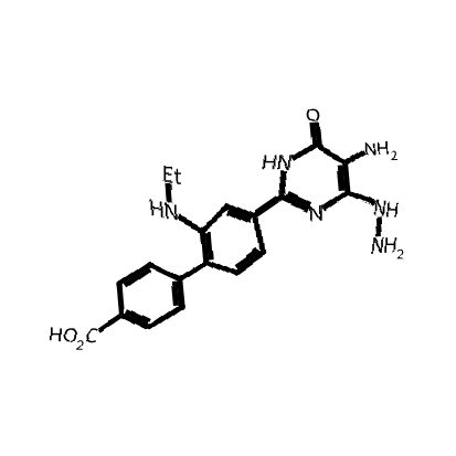 CCNc1cc(-c2nc(NN)c(N)c(=O)[nH]2)ccc1-c1ccc(C(=O)O)cc1